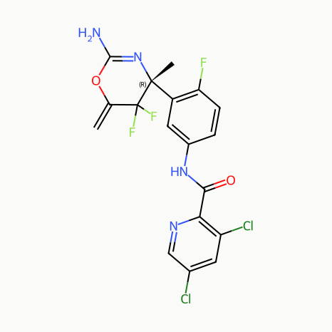 C=C1OC(N)=N[C@](C)(c2cc(NC(=O)c3ncc(Cl)cc3Cl)ccc2F)C1(F)F